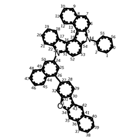 c1ccc(-n2c3ccc4ccccc4c3c3c4c5ccccc5n(-c5cc(-c6ccc7c(c6)oc6cc8ccccc8cc67)c6ccccc6c5)c4ccc32)cc1